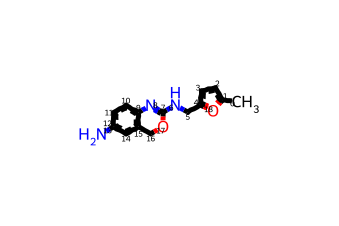 Cc1ccc(CNC2=Nc3ccc(N)cc3CO2)o1